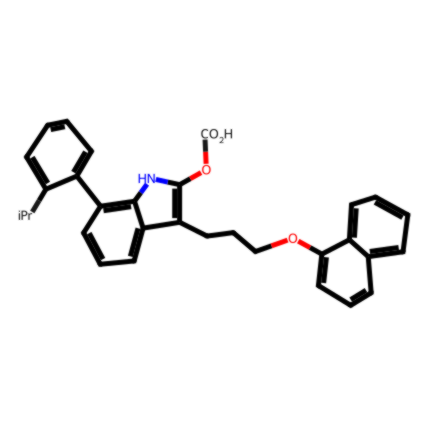 CC(C)c1ccccc1-c1cccc2c(CCCOc3cccc4ccccc34)c(OC(=O)O)[nH]c12